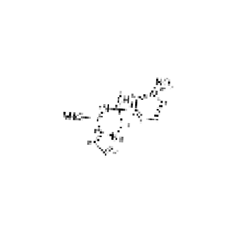 CSC1=NC(C)(c2cccc([N+](=O)[O-])c2)Cn2cccc21